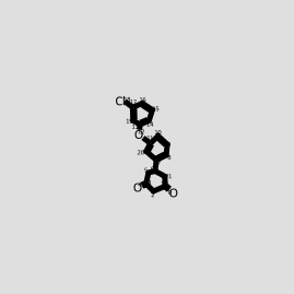 O=C1CC(=O)CC(c2cccc(Oc3cccc(Cl)c3)c2)C1